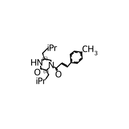 Cc1ccc(C=CC(=O)N2C[C@H](CC(C)C)NC(=O)[C@@H]2CC(C)C)cc1